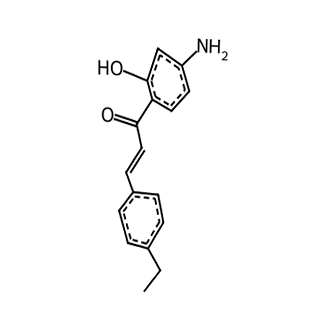 CCc1ccc(/C=C/C(=O)c2ccc(N)cc2O)cc1